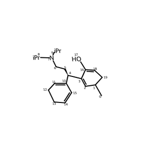 CC1C=C([C@H](CCN(C(C)C)C(C)C)C2=CCCC=C2)C(O)=CC1